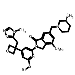 CCSc1cc(C2(Cc3nncn3C)COC2)cc(N2Cc3c(NC)cc(CN4CCC[C@H](C)C4)cc3C2=O)n1